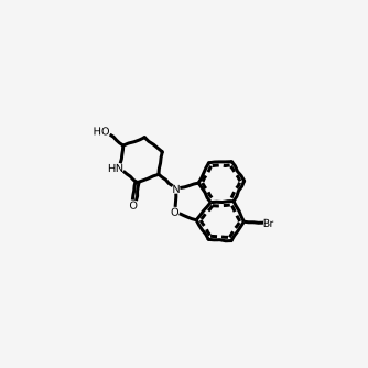 O=C1NC(O)CCC1N1Oc2ccc(Br)c3cccc1c23